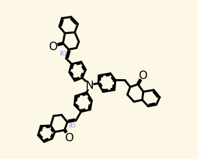 O=C1/C(=C/c2ccc(N(c3ccc(/C=C4\CCC5C=CC=CC5C4=O)cc3)c3ccc(CC4CCC5C=CC=CC5C4=O)cc3)cc2)CCc2ccccc21